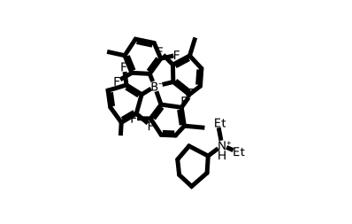 CC[NH+](CC)C1CCCCC1.Cc1ccc(F)c([B-](c2c(F)ccc(C)c2F)(c2c(F)ccc(C)c2F)c2c(F)ccc(C)c2F)c1F